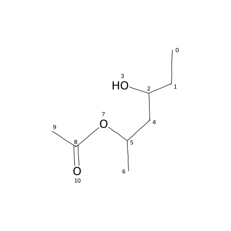 CCC(O)CC(C)OC(C)=O